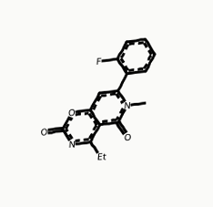 CCc1nc(=O)oc2cc(-c3ccccc3F)n(C)c(=O)c12